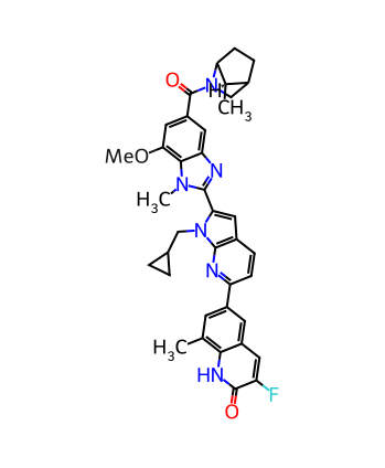 COc1cc(C(=O)N2CC3CCC2[C@@H]3C)cc2nc(-c3cc4ccc(-c5cc(C)c6[nH]c(=O)c(F)cc6c5)nc4n3CC3CC3)n(C)c12